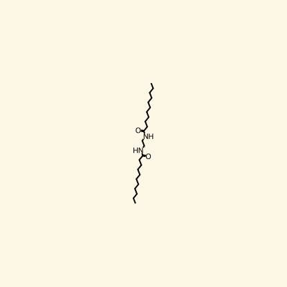 CCCCCCCCCCC(=O)NCCNC(=O)CCCCCCCCCC